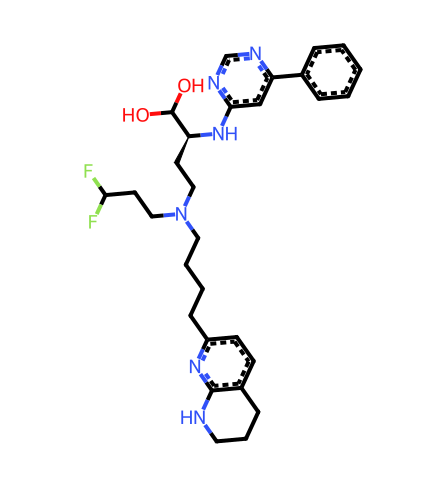 OC(O)[C@H](CCN(CCCCc1ccc2c(n1)NCCC2)CCC(F)F)Nc1cc(-c2ccccc2)ncn1